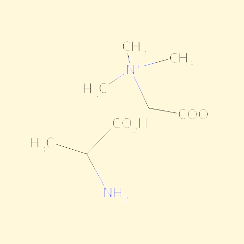 CC(N)C(=O)O.C[N+](C)(C)CC(=O)[O-]